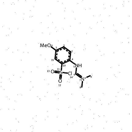 COc1ccc(NC=[N+](C)C)c(S(=O)(=O)Cl)c1